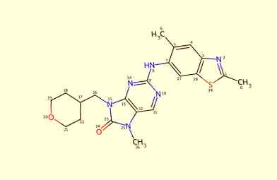 Cc1nc2cc(C)c(Nc3ncc4c(n3)n(CC3CCOCC3)c(=O)n4C)cc2s1